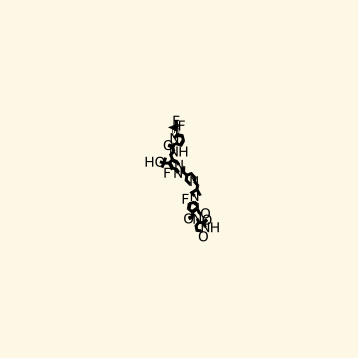 CC(C)(O)c1c(CNC(=O)c2cccc([C@H]3CC3(F)F)n2)cn2cc(C3CCN(CC4CN(c5cc6c(cc5F)C(=O)N(C5CCC(=O)NC5=O)C6=O)C4)CC3)nc2c1F